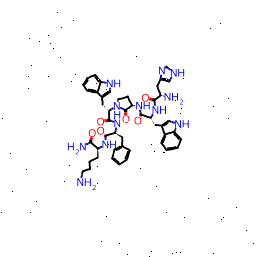 NCCCC[C@H](NC(=O)[C@H](Cc1ccccc1)NC(=O)[C@H](Cc1c[nH]c2ccccc12)N1CC[C@H](NC(=O)[C@@H](Cc2c[nH]c3ccccc23)NC(=O)[C@@H](N)Cc2c[nH]cn2)C1=O)C(N)=O